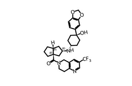 O=C(N1CCc2ncc(C(F)(F)F)cc2C1)[C@@]12CCC[C@@H]1C[C@@H](N[C@H]1CC[C@@](O)(c3ccc4c(c3)OCO4)CC1)C2